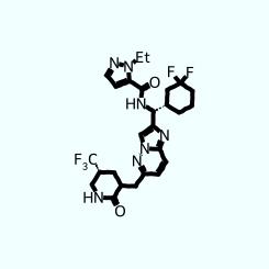 CCn1nccc1C(=O)NC(c1cn2nc(CC3C[C@@H](C(F)(F)F)CNC3=O)ccc2n1)[C@H]1CCCC(F)(F)C1